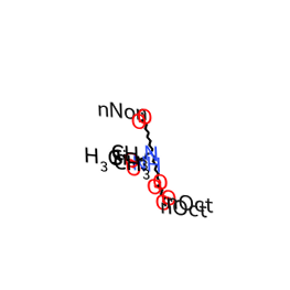 CCCCCCCCCOC(=O)CCCCCCCN(CCCCCCOC(=O)CCC(OCCCCCCCC)OCCCCCCCC)CCCNC(=O)OCC[Si](C)(C)C